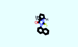 O=C1[C@@H]2[C@@H]3C=C[C@@H](C3)N2C(=S)N1c1cccc2ccccc12